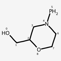 OCC1CN(P)CCO1